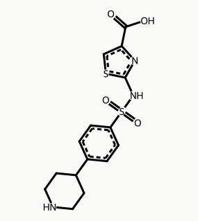 O=C(O)c1csc(NS(=O)(=O)c2ccc(C3CCNCC3)cc2)n1